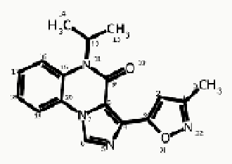 Cc1cc(-c2ncn3c2c(=O)n(C(C)C)c2ccccc23)on1